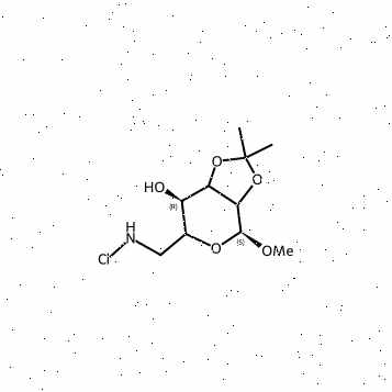 CO[C@H]1OC(CNCl)[C@@H](O)C2OC(C)(C)OC21